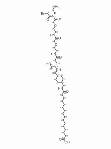 NCCN(C(=O)CBr)C(=O)COCCNC(=O)COCCNC(=O)CC[C@H](NC(=O)C1CCC(CNC(=O)CCCCCCCCCCCCCCC(=O)O)CC1)C(=O)O